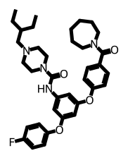 CCC(CC)CN1CCN(C(=O)Nc2cc(Oc3ccc(F)cc3)cc(Oc3ccc(C(=O)N4CCCCCC4)cc3)c2)CC1